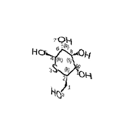 OC[C@H]1S[C@@H](O)[C@H](O)[C@@H](O)[C@H]1O